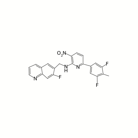 Cc1c(F)cc(-c2ccc([N+](=O)[O-])c(NCc3cc4cccnc4cc3F)n2)cc1F